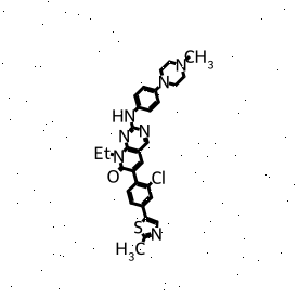 CCn1c(=O)c(-c2ccc(-c3cnc(C)s3)cc2Cl)cc2cnc(Nc3ccc(N4CCN(C)CC4)cc3)nc21